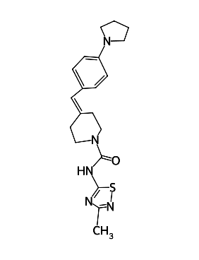 Cc1nsc(NC(=O)N2CCC(=Cc3ccc(N4CCCC4)cc3)CC2)n1